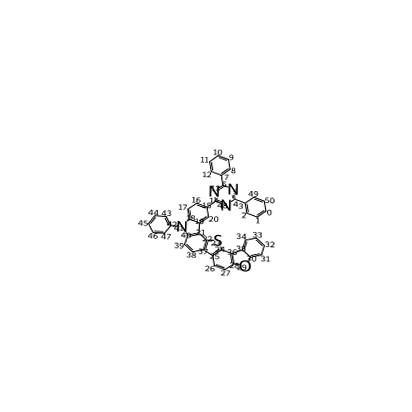 c1ccc(-c2nc(-c3ccccc3)nc(-c3ccc4c(c3)c3c5sc6c(ccc7oc8ccccc8c76)c5ccc3n4-c3ccccc3)n2)cc1